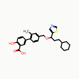 Cc1cc(COC(CCC2CCCCC2)c2cncs2)ccc1-c1ccc(O)c(C(=O)O)c1